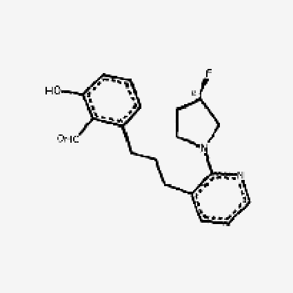 O=Cc1c(O)cccc1CCCc1cccnc1N1CC[C@@H](F)C1